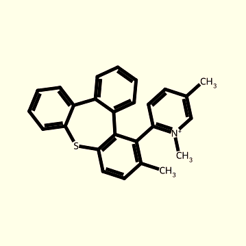 Cc1ccc(-c2c(C)ccc3c2-c2ccccc2-c2ccccc2S3)[n+](C)c1